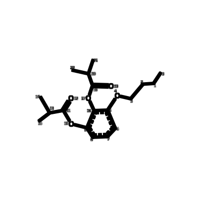 CCCCOc1cccc(OC(=O)C(C)C)c1OC(=O)C(C)C